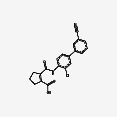 N#Cc1cccc(-c2ccc(NC(=O)C3=C(C(=O)O)CCC3)c(Cl)c2)c1